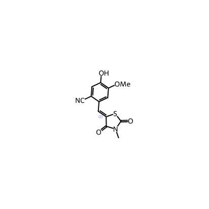 COc1cc(/C=C2\SC(=O)N(C)C2=O)c(C#N)cc1O